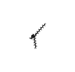 CCCCCCCCCCCCn1cc[n+](CC)c1CCCCCCCC